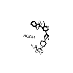 CN(C)C(=O)N1CCC(n2cc(-c3cnc(N)c(-c4cc5ccccc5o4)c3)cn2)CC1.Cl.Cl